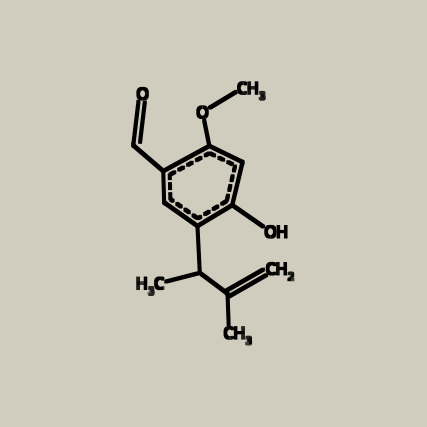 C=C(C)C(C)c1cc(C=O)c(OC)cc1O